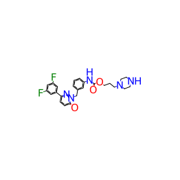 O=C(Nc1cccc(Cn2nc(-c3cc(F)cc(F)c3)ccc2=O)c1)OCCCN1CCNCC1